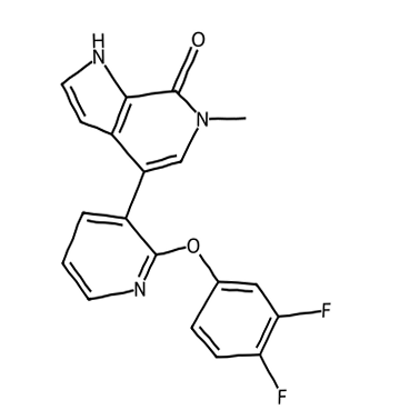 Cn1cc(-c2cccnc2Oc2ccc(F)c(F)c2)c2cc[nH]c2c1=O